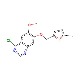 COc1cc2c(Cl)ncnc2cc1OCc1ccc(C)o1